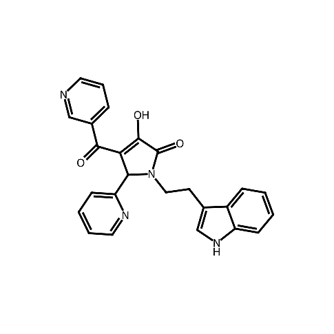 O=C(C1=C(O)C(=O)N(CCc2c[nH]c3ccccc23)C1c1ccccn1)c1cccnc1